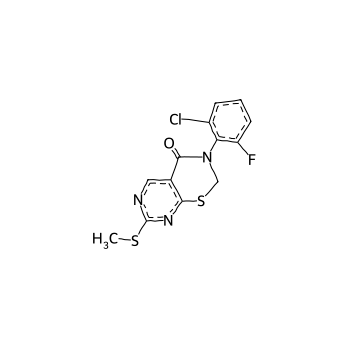 CSc1ncc2c(n1)SCN(c1c(F)cccc1Cl)C2=O